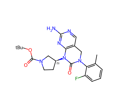 Cc1cccc(F)c1N1Cc2cnc(N)nc2N([C@H]2CCN(C(=O)OC(C)(C)C)C2)C1=O